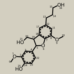 COc1cc(C2Oc3c(OC)cc(CCCO)cc3C2CO)ccc1O